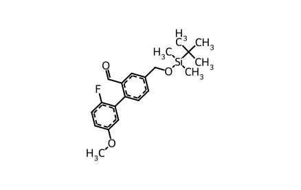 COc1ccc(F)c(-c2ccc(CO[Si](C)(C)C(C)(C)C)cc2C=O)c1